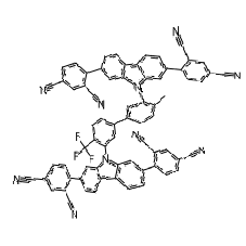 Cc1ccc(-c2ccc(C(F)(F)F)c(-n3c4cc(-c5ccc(C#N)cc5C#N)ccc4c4ccc(-c5ccc(C#N)cc5C#N)cc43)c2)cc1-n1c2cc(-c3ccc(C#N)cc3C#N)ccc2c2ccc(-c3ccc(C#N)cc3C#N)cc21